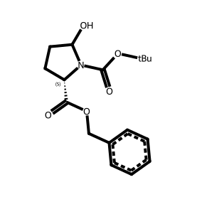 CC(C)(C)OC(=O)N1C(O)CC[C@H]1C(=O)OCc1ccccc1